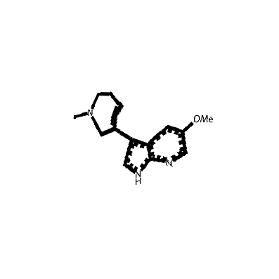 COc1cnc2[nH]cc(C3=CCCN(C)C3)c2c1